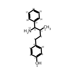 CC(CCc1ccc(O)cc1)C(N)c1ccccc1